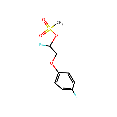 O=S(=O)(OC(F)COc1ccc(F)cc1)C(F)(F)F